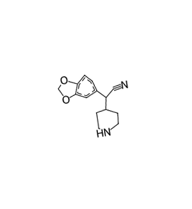 N#CC(c1ccc2c(c1)OCO2)C1CCNCC1